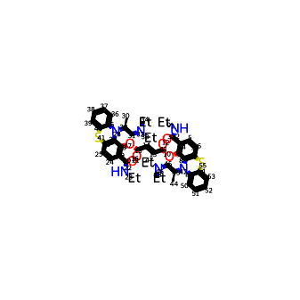 CCNC(=O)c1ccc2c(c1OC(=O)/C=C/C(=O)Oc1c(C(=O)NCC)ccc3c1N([C@@H](C)CN(CC)CC)c1ccccc1S3)N([C@@H](C)CN(CC)CC)c1ccccc1S2